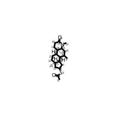 CC(=O)SC1C[C@H]2[C@@H]3C(C)CC4N(C)C(=O)CC[C@]4(C)[C@@H]3CC[C@]2(C)C1